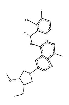 CO[C@H]1CN(c2cnc3c(C)nnc(N[C@H](C)c4cccc(F)c4Cl)c3c2)C[C@H]1OC